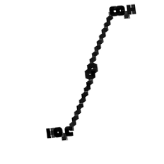 O=C(O)CCCCCCCCCCCCCCCCCc1ccc2cc(CCCCCCCCCCCCCCCCCC(=O)O)ccc2c1